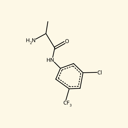 CC(N)C(=O)Nc1cc(Cl)cc(C(F)(F)F)c1